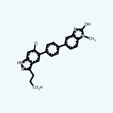 Cn1c(O)nc2cc(-c3ccc(-c4cc5c(CCC(=O)O)n[nH]c5cc4Cl)cc3)ccc21